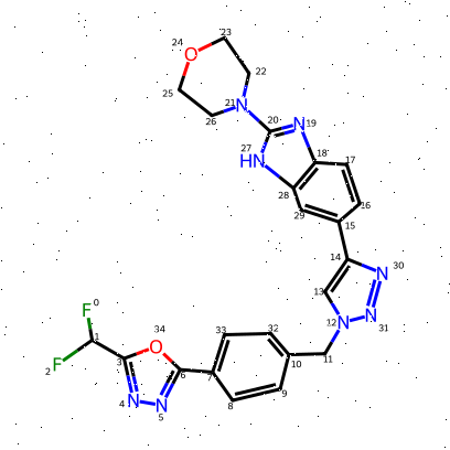 FC(F)c1nnc(-c2ccc(Cn3cc(-c4ccc5nc(N6CCOCC6)[nH]c5c4)nn3)cc2)o1